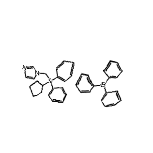 c1ccc(B(c2ccccc2)c2ccccc2)cc1.c1ccc([Si](Cn2ccnc2)(c2ccccc2)C2CCCC2)cc1